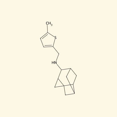 Cc1ccc(CNC2C3CC4CC5(CC25)C4C3)s1